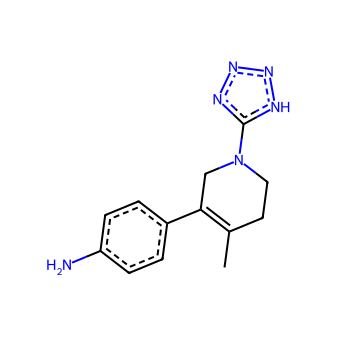 CC1=C(c2ccc(N)cc2)CN(c2nnn[nH]2)CC1